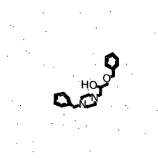 OC(COCc1ccccc1)CN1CCN(Cc2ccccc2)CC1